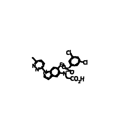 CCc1cc2c(ccn2-c2ccc(C)nn2)cc1N(CC(=O)O)S(=O)(=O)c1cc(Cl)cc(Cl)c1